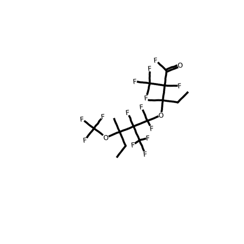 CCC(C)(OC(F)(F)C(F)(C(F)(F)F)C(C)(CC)OC(F)(F)F)C(F)(C(=O)F)C(F)(F)F